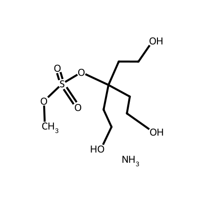 COS(=O)(=O)OC(CCO)(CCO)CCO.N